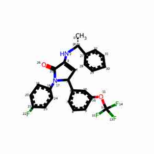 C[C@@H](NC1=CC(c2cccc(OC(F)(F)F)c2)N(c2ccc(F)cc2)C1=O)c1ccccc1